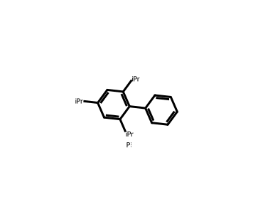 CC(C)c1cc(C(C)C)c(-c2ccccc2)c(C(C)C)c1.[P]